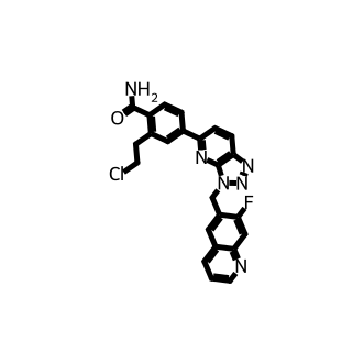 NC(=O)c1ccc(-c2ccc3nnn(Cc4cc5cccnc5cc4F)c3n2)cc1CCCl